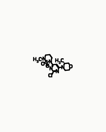 C[C@@H]1COCCN1c1cc(N2CCCN(C)S2(=O)=O)nc(Cl)n1